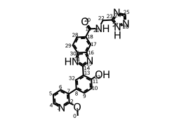 COc1ncccc1-c1ccc(O)c(-c2nc3cc(C(=O)NCc4ncn[nH]4)ccc3[nH]2)c1